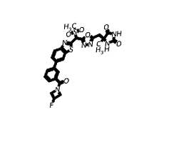 CC1(Cc2nnc(C(c3nc4ccc(-c5cccc(C(=O)N6CC(F)C6)c5)cc4s3)S(C)(=O)=O)o2)NC(=O)NC1=O